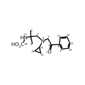 CC(C)(CN(CC(=O)c1ccccc1)C1CC1)NC(=O)O